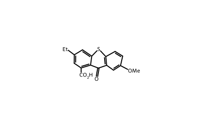 CCc1cc(C(=O)O)c2c(=O)c3cc(OC)ccc3sc2c1